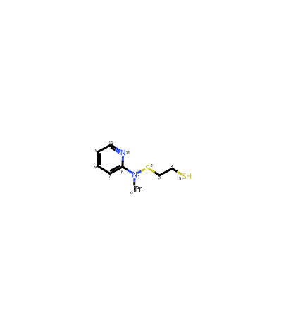 CC(C)N(SCCS)c1ccccn1